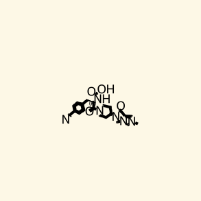 CN1C=C2C(=O)N(C3CCN(C(=O)[C@@H](Cc4ccc(C#N)cc4)NC(=O)O)CC3)CN2C1